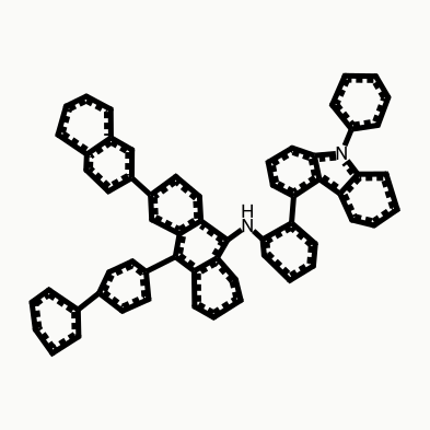 c1ccc(-c2ccc(-c3c4ccccc4c(Nc4ccccc4-c4cccc5c4c4ccccc4n5-c4ccccc4)c4ccc(-c5ccc6ccccc6c5)cc34)cc2)cc1